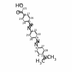 CN(C)c1ccc(N=Nc2ccc(N=Nc3ccc(C(=O)CO)cc3)cc2)cc1